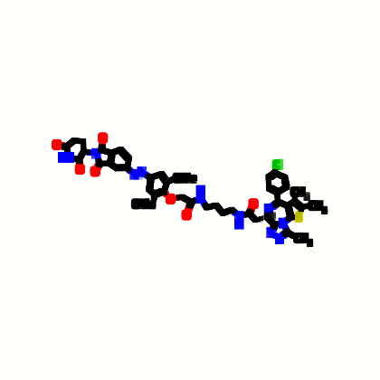 COc1cc(/N=N/c2ccc3c(c2)C(=O)N(C2CCC(=O)NC2=O)C3=O)cc(OC)c1OCC(=O)NCCCCNC(=O)C[C@@H]1N=C(c2ccc(Cl)cc2)c2c(sc(C)c2C)-n2c(C)nnc21